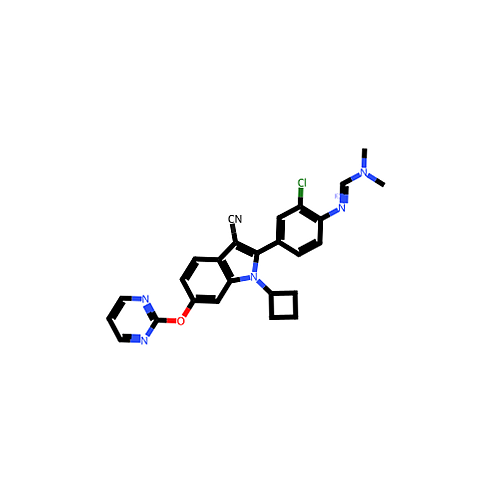 CN(C)/C=N/c1ccc(-c2c(C#N)c3ccc(Oc4ncccn4)cc3n2C2CCC2)cc1Cl